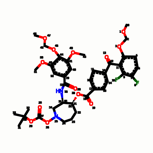 COCOc1ccc(F)c(F)c1C(=O)c1ccc(C(=O)O[C@@H]2CCCN(OC(=O)OC(C)(C)C)C[C@H]2NC(=O)c2cc(OC)c(OCOC)c(OC)c2)cc1